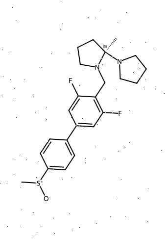 C[S+]([O-])c1ccc(-c2cc(F)c(CN3CCC[C@@]3(C)N3CCCC3)c(F)c2)cc1